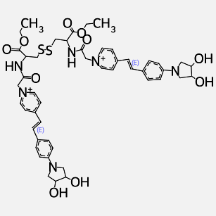 CCOC(=O)C(CSSCC(NC(=O)C[n+]1ccc(/C=C/c2ccc(N3CC(O)C(O)C3)cc2)cc1)C(=O)OCC)NC(=O)C[n+]1ccc(/C=C/c2ccc(N3CC(O)C(O)C3)cc2)cc1